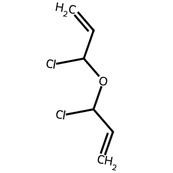 C=CC(Cl)OC(Cl)C=C